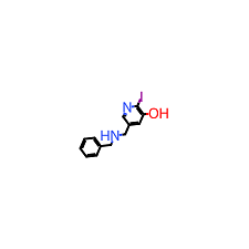 Oc1cc(CNCc2ccccc2)cnc1I